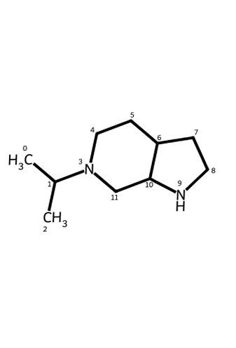 CC(C)N1CCC2CCNC2C1